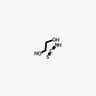 N=C=S.OCCO